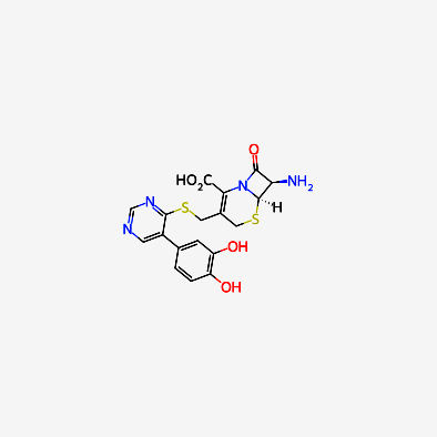 N[C@@H]1C(=O)N2C(C(=O)O)=C(CSc3ncncc3-c3ccc(O)c(O)c3)CS[C@H]12